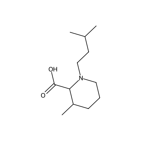 CC(C)CCN1CCCC(C)C1C(=O)O